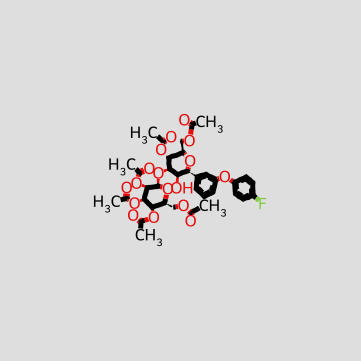 CC(=O)OC[C@H]1O[C@H](O[C@@H]2[C@H](O)[C@@H](c3cccc(Oc4ccc(F)cc4)c3)O[C@H](COC(C)=O)[C@H]2OC(C)=O)[C@H](OC(C)=O)[C@H](OC(C)=O)[C@@H]1OC(C)=O